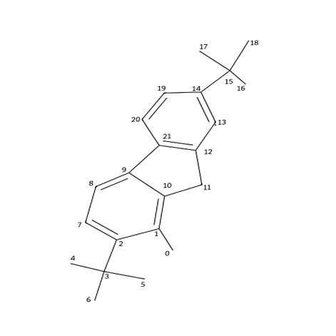 Cc1c(C(C)(C)C)ccc2c1Cc1[c]c(C(C)(C)C)ccc1-2